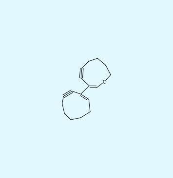 C1#CC(C2=CCCCCCC#C2)=CCCCCC1